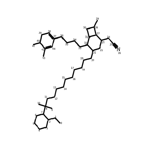 CCC1CCCCC1C(C)(C)CCCCCCCCCCC1CC(CC#N)C2C(C)CC2C1CCCCC1=CCC(C)C(C)=C1